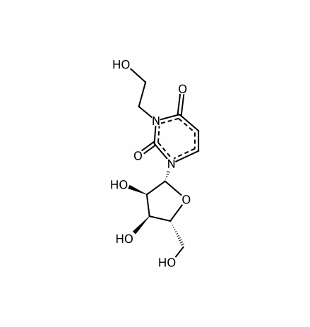 O=c1ccn([C@@H]2O[C@H](CO)[C@@H](O)[C@H]2O)c(=O)n1CCO